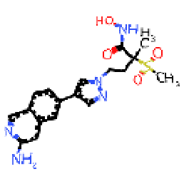 CC(CCn1cc(-c2ccc3cnc(N)cc3c2)cn1)(C(=O)NO)S(C)(=O)=O